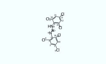 Clc1cc(Cl)c(N=NNc2c(Cl)cc(Cl)cc2Cl)c(Cl)c1